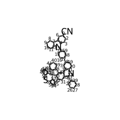 N#Cc1ccc2c(c1)c1ccccc1n2-c1ccc(-c2ccc3nc(-c4ccccc4)c4ccc5c(c4c3c2)-c2ccccc2C52c3ccccc3Sc3ccccc32)cc1